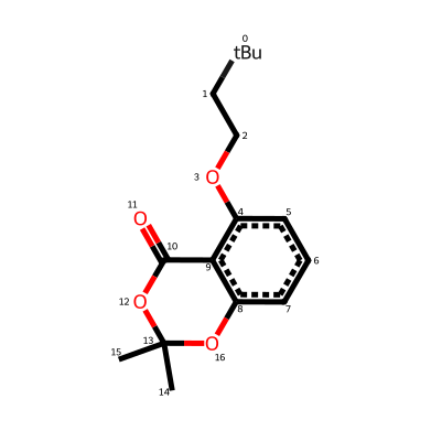 CC(C)(C)CCOc1cccc2c1C(=O)OC(C)(C)O2